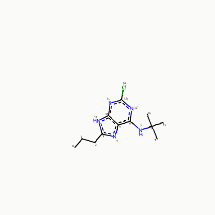 CCCc1nc2c(NC(C)(C)C)nc(Cl)nc2[nH]1